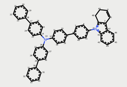 C1=Cc2c(n(-c3ccc(-c4ccc(N(c5ccc(-c6ccccc6)cc5)c5ccc(-c6ccccc6)cc5)cc4)cc3)c3ccccc23)CC1